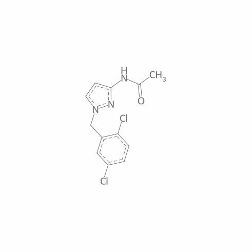 CC(=O)Nc1ccn(Cc2cc(Cl)ccc2Cl)n1